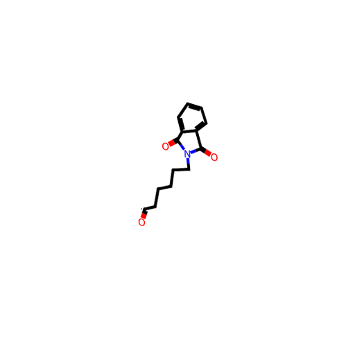 O=[C]CCCCCN1C(=O)c2ccccc2C1=O